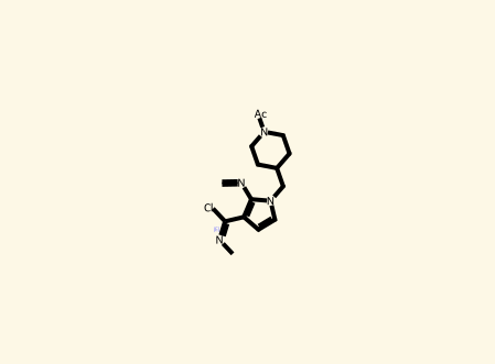 C=Nc1c(/C(Cl)=N\C)ccn1CC1CCN(C(C)=O)CC1